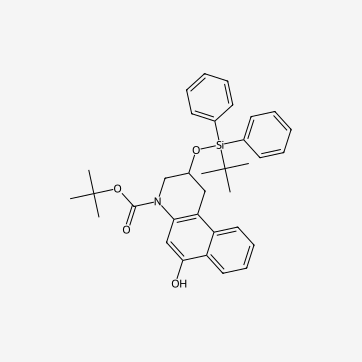 CC(C)(C)OC(=O)N1CC(O[Si](c2ccccc2)(c2ccccc2)C(C)(C)C)Cc2c1cc(O)c1ccccc21